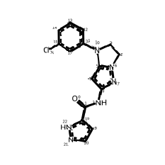 O=C(Nc1cc2n(n1)CCN2c1cccc(Cl)c1)c1ccn[nH]1